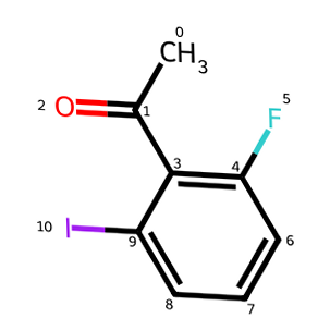 CC(=O)c1c(F)cccc1I